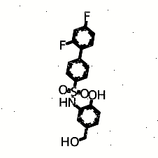 O=S(=O)(Nc1cc(CO)ccc1O)c1ccc(-c2ccc(F)cc2F)cc1